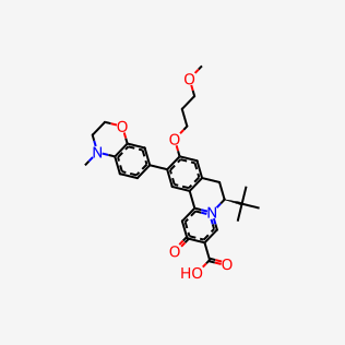 COCCCOc1cc2c(cc1-c1ccc3c(c1)OCCN3C)-c1cc(=O)c(C(=O)O)cn1[C@H](C(C)(C)C)C2